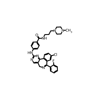 CN1CCN(CCCNC(=O)c2ccc(Nc3ncc4c(n3)-c3ccc(Cl)cc3C(c3ccccc3F)=NC4)cc2)CC1